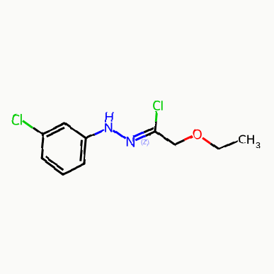 CCOC/C(Cl)=N/Nc1cccc(Cl)c1